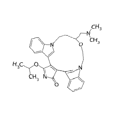 CC(C)OC1=NC(=O)C2=C1c1cn(c3ccccc13)CCC(CN(C)C)OCCn1cc2c2ccccc21